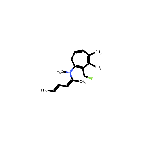 C/C=C/C=C(/C)N(C)C1=C(CF)C(C)=C(C)C=CC1